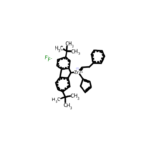 CC(C)(C)c1ccc2c(c1)[CH](/[Zr+2](=[CH]/Cc1ccccc1)[C]1=CC=CC1)c1cc(C(C)(C)C)ccc1-2.[F-].[F-]